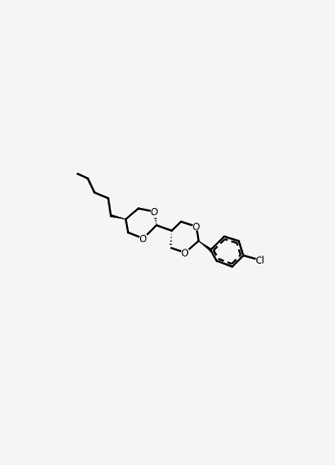 CCCCC[C@H]1CO[C@H]([C@H]2CO[C@H](c3ccc(Cl)cc3)OC2)OC1